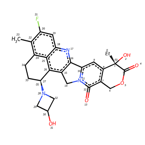 CC[C@@]1(O)C(=O)OCc2c1cc1n(c2=O)Cc2c-1nc1cc(F)c(C)c3c1c2[C@@H](N1CC(O)C1)CC3